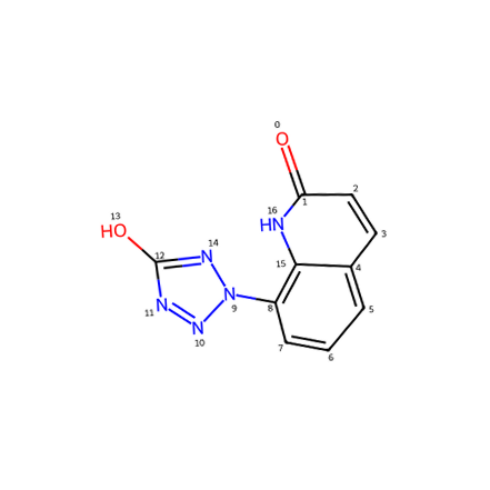 O=c1ccc2cccc(-n3nnc(O)n3)c2[nH]1